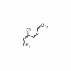 C=C/C=C\C(C#N)=C/N